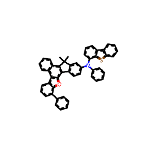 CC1(C)c2cc(N(c3ccccc3)c3cccc4c3sc3ccccc34)ccc2-c2c1c1ccccc1c1c2oc2c(-c3ccccc3)cccc21